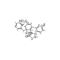 CC1(Cc2ccccn2)CC(C(=O)O)=CC=C1N1C(=O)CSC1c1ccc(F)cc1